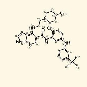 Cc1ccc(Nc2cccc(C(F)(F)F)c2)cc1NC(=O)c1cnc2[nH]ccc2c1NCCN1CCN(C)CC1